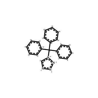 [c]1nnnn1C(c1ccccc1)(c1ccccc1)c1ccccc1